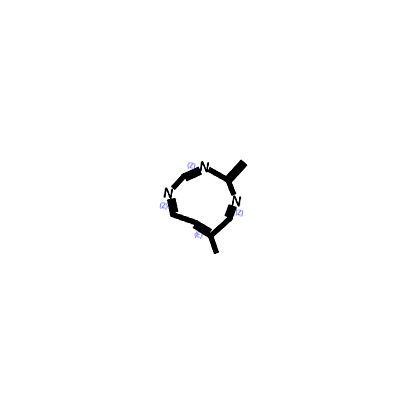 C=C1\N=C/N=C\C=C(C)\C=N/1